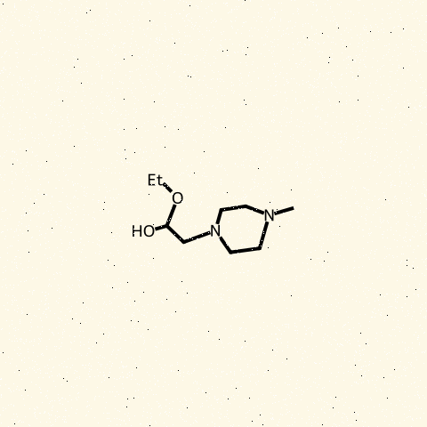 CCOC(O)CN1CCN(C)CC1